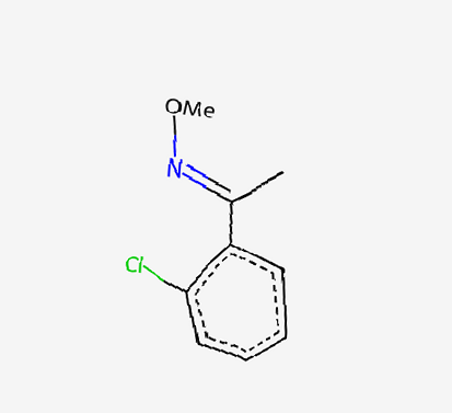 CON=C(C)c1ccccc1Cl